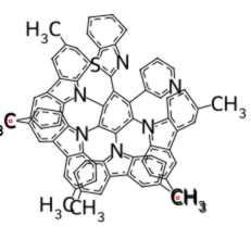 Cc1ccc2c(c1)c1cc(C)ccc1n2-c1c(-c2cccnc2)c(-c2nc3ccccc3s2)c(-n2c3ccc(C)cc3c3cc(C)ccc32)c(-n2c3ccc(C)cc3c3cc(C)ccc32)c1-n1c2ccc(C)cc2c2cc(C)ccc21